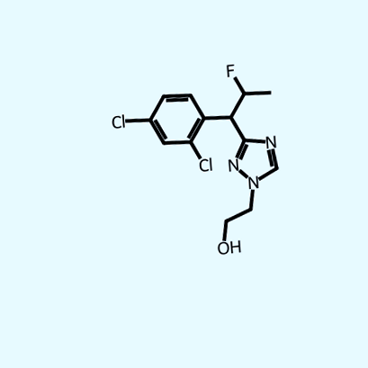 CC(F)C(c1ncn(CCO)n1)c1ccc(Cl)cc1Cl